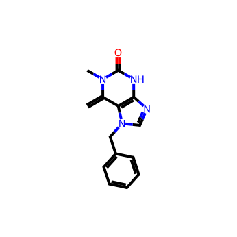 C=C1c2c(ncn2Cc2ccccc2)NC(=O)N1C